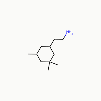 CC1CC(CCN)CC(C)(C)C1